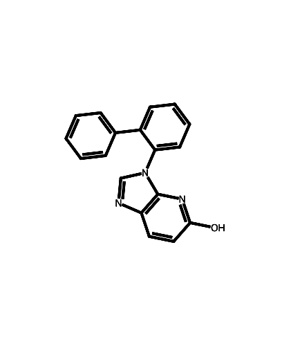 Oc1ccc2ncn(-c3ccccc3-c3ccccc3)c2n1